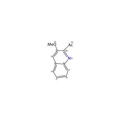 COc1cc2ccccc2nc1C(C)=O